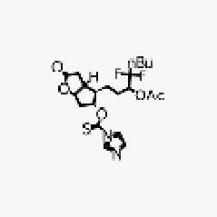 CCCCC(F)(F)C(CC[C@H]1[C@H](OC(=S)n2ccnc2)CC2OC(=O)C[C@@H]21)OC(C)=O